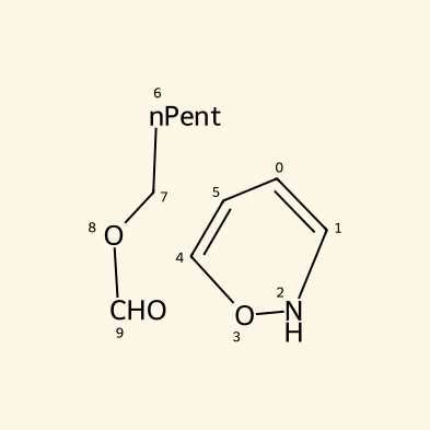 C1=CNOC=C1.CCCCCCOC=O